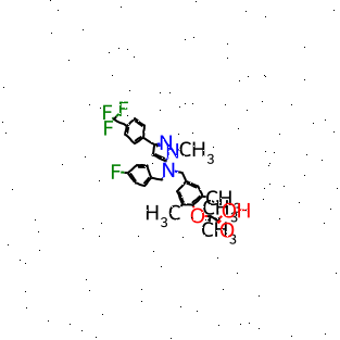 Cc1cc(CN(Cc2ccc(F)cc2)c2cc(-c3ccc(C(F)(F)F)cc3)nn2C)cc(C)c1OC(C)(C)C(=O)O